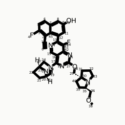 C#Cc1c(F)ccc2cc(O)cc(-c3ncc4c(N5C[C@H]6CC[C@@H](C5)N6)nc(OC[C@]56CCCN5[C@@H](COC)CC6)nc4c3F)c12